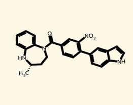 C[C@H]1CCN(C(=O)c2ccc(-c3ccc4[nH]ccc4c3)c([N+](=O)[O-])c2)c2ccccc2N1